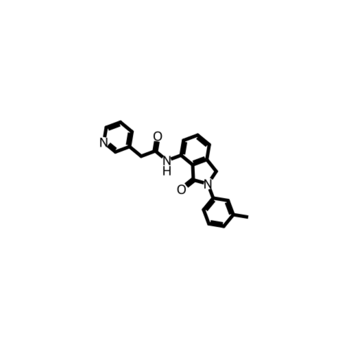 Cc1cccc(N2Cc3cccc(NC(=O)Cc4cccnc4)c3C2=O)c1